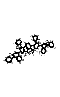 CC1(C)c2cc(-c3cc4oc5ccccc5c4c4ccccc34)c3oc4ccccc4c3c2-c2ccc3c(c21)C(C)(C)c1cc(-c2cc4oc5ccccc5c4c4ccccc24)c2oc4ccccc4c2c1-3